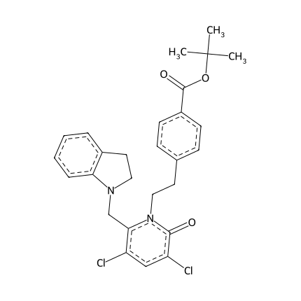 CC(C)(C)OC(=O)c1ccc(CCn2c(CN3CCc4ccccc43)c(Cl)cc(Cl)c2=O)cc1